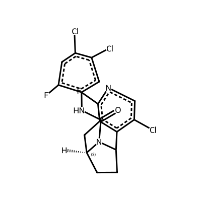 O=C(Nc1cc(Cl)c(Cl)cc1F)N1C2CC[C@H]1Cc1c(F)ncc(Cl)c12